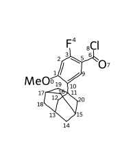 COc1cc(F)c(C(=O)Cl)cc1C12CC3CC(CC(C3)C1)C2